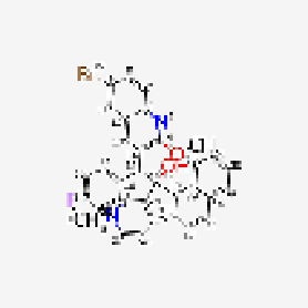 CI.COc1nc2ccc(Br)cc2cc1C(c1ccccc1)C(O)(c1cccnc1)c1cccc2ccccc12